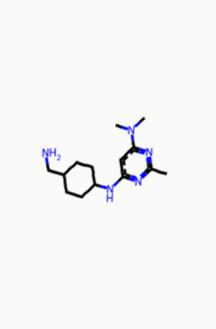 Cc1nc(NC2CCC(CN)CC2)cc(N(C)C)n1